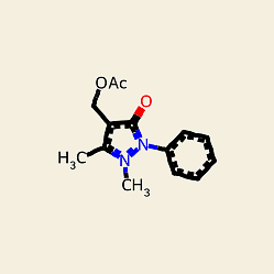 CC(=O)OCc1c(C)n(C)n(-c2ccccc2)c1=O